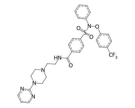 O=C(NCCN1CCN(c2ncccn2)CC1)c1ccc(S(=O)(=O)N(Oc2ccc(C(F)(F)F)cc2)c2ccccc2)cc1